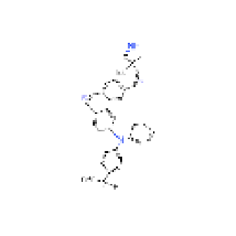 CCCC(C)(CC)c1ccc(N(c2ccccc2)c2ccc(/C=C\c3ccc(/C=C\C(C)(C=N)CC)cc3)cc2)cc1